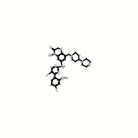 CCN1C(=O)COc2c(CN3CCC(N4CCOCC4)CC3)cc(Nc3ncc(F)c(-c4ccc(F)cc4OC)n3)cc21